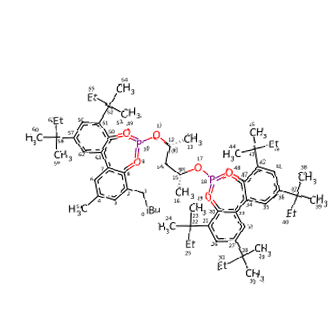 CCC(C)Cc1cc(C)cc2c1op(O[C@H](C)C[C@@H](C)Op1oc3c(C(C)(C)CC)cc(C(C)(C)CC)cc3c3cc(C(C)(C)CC)cc(C(C)(C)CC)c3o1)oc1c(C(C)(C)CC)cc(C(C)(C)CC)cc12